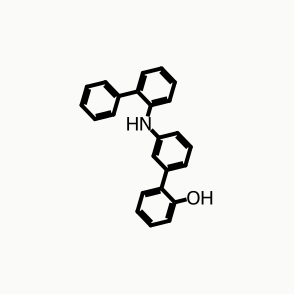 Oc1ccccc1-c1cccc(Nc2ccccc2-c2ccccc2)c1